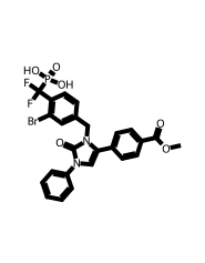 COC(=O)c1ccc(-c2cn(-c3ccccc3)c(=O)n2Cc2ccc(C(F)(F)P(=O)(O)O)c(Br)c2)cc1